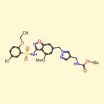 CCc1ccc(OCC#N)c(S(=O)(=O)Nc2noc3cc(Cn4cc(CNC(=O)OC(C)(C)C)cn4)cc(OC)c23)c1